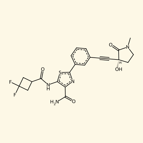 CN1CC[C@@](O)(C#Cc2cccc(-c3nc(C(N)=O)c(NC(=O)C4CC(F)(F)C4)s3)c2)C1=O